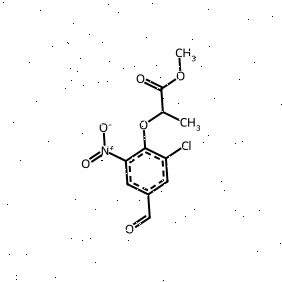 COC(=O)C(C)Oc1c(Cl)cc(C=O)cc1[N+](=O)[O-]